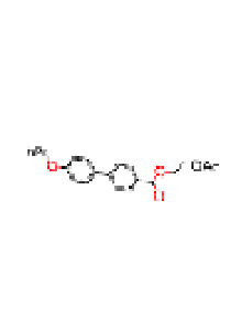 CCCOc1ccc(-c2ccc(C(=O)OCCOC(C)=O)cc2)cc1